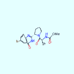 COC(=O)N[C@H](C(=O)N1CCC[C@H]1c1nc2ccc(Br)cc2c(=O)[nH]1)C(C)C